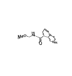 COCNC(=O)C1=CC=CN2SNC=C12